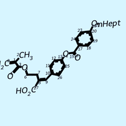 C=C(C)C(=O)OCCC(=Cc1ccc(OC(=O)c2ccc(OCCCCCCC)cc2)cc1)C(=O)O